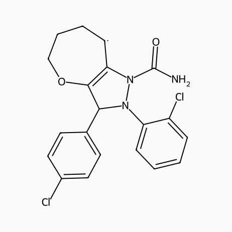 NC(=O)N1C2=C(OCCC[CH]2)C(c2ccc(Cl)cc2)N1c1ccccc1Cl